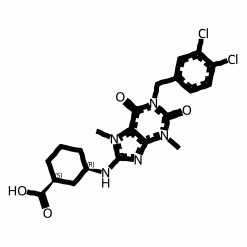 Cn1c(N[C@@H]2CCC[C@H](C(=O)O)C2)nc2c1c(=O)n(Cc1ccc(Cl)c(Cl)c1)c(=O)n2C